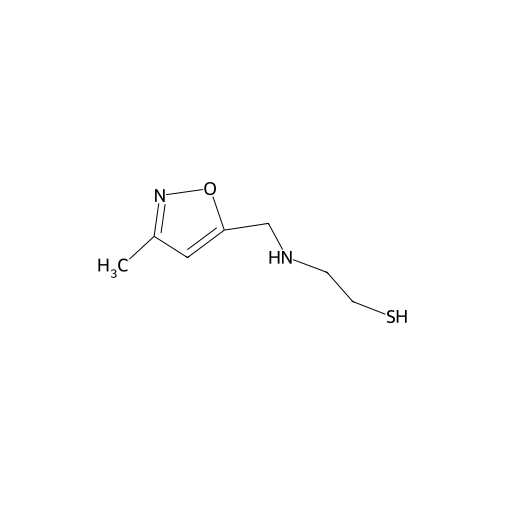 Cc1cc(CNCCS)on1